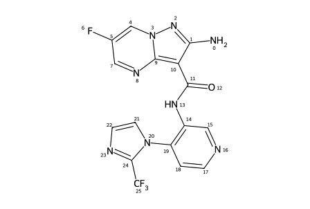 Nc1nn2cc(F)cnc2c1C(=O)Nc1cnccc1-n1ccnc1C(F)(F)F